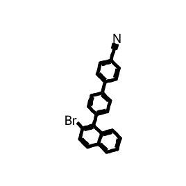 N#Cc1ccc(-c2ccc(-c3c(Br)ccc4ccccc34)cc2)cc1